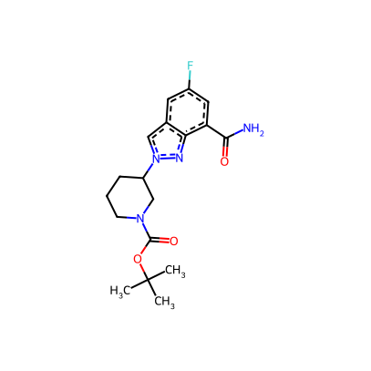 CC(C)(C)OC(=O)N1CCCC(n2cc3cc(F)cc(C(N)=O)c3n2)C1